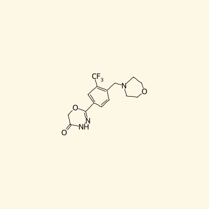 O=C1COC(c2ccc(CN3CCOCC3)c(C(F)(F)F)c2)=NN1